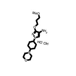 COCCCOc1nn(C2CCC(N3CCOCC3)CC2)cc1N.Cl.Cl